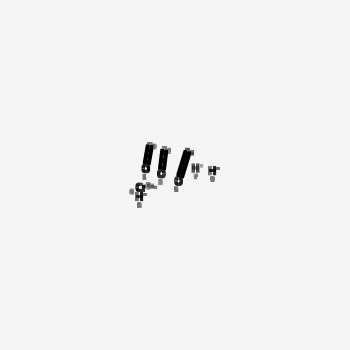 [C]=O.[C]=O.[C]=O.[Cr+3].[H-].[H-].[H-]